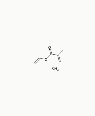 C=COC(=O)C(=C)C.[SiH4]